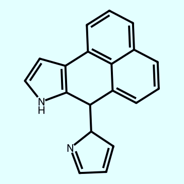 C1=CC(C2c3[nH]ccc3-c3cccc4cccc2c34)N=C1